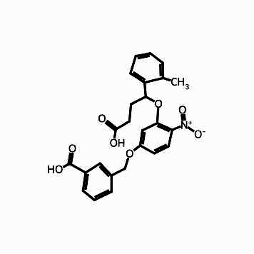 Cc1ccccc1C(CCC(=O)O)Oc1cc(OCc2cccc(C(=O)O)c2)ccc1[N+](=O)[O-]